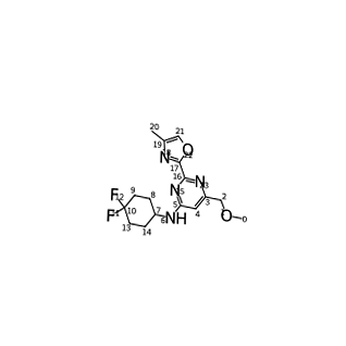 COCc1cc(NC2CCC(F)(F)CC2)nc(-c2nc(C)co2)n1